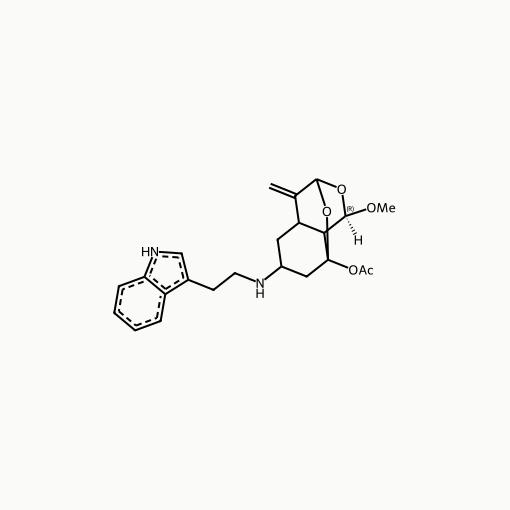 C=C1C2O[C@@H](OC)C3C1CC(NCCc1c[nH]c4ccccc14)CC3(OC(C)=O)O2